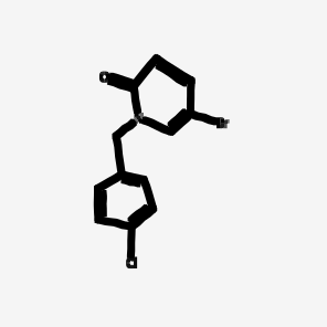 O=c1ccc(Br)cn1Cc1ccc(Cl)cc1